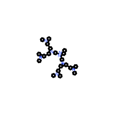 c1ccc(-n2c3ccccc3c3cc(-c4ccc5c(c4)c4cc(-c6ccc7c(c6)c6ccccc6n7-c6ccccc6)ccc4n5-c4ccc(-c5nc(-c6ccc(-n7c8ccc(-c9ccc%10c(c9)c9ccccc9n%10-c9ccccc9)cc8c8cc(-c9ccc%10c(c9)c9ccccc9n%10-c9ccccc9)ccc87)cc6)c6ccc7ccccc7c6n5)cc4)ccc32)cc1